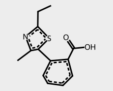 CCc1nc(C)c(-c2ccccc2C(=O)O)s1